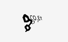 CCOC(=O)C1(c2ccccc2)OC1c1ccc(C)cc1